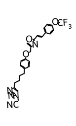 N#CCn1cc(CCCCc2ccc(OCc3coc(C=Cc4ccc(OC(F)(F)F)cc4)n3)cc2)nn1